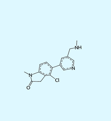 CNCc1cncc(-c2ccc3c(c2Cl)CC(=O)N3C)c1